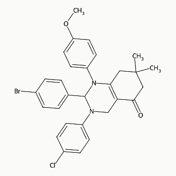 COc1ccc(N2C3=C(CN(c4ccc(Cl)cc4)C2c2ccc(Br)cc2)C(=O)CC(C)(C)C3)cc1